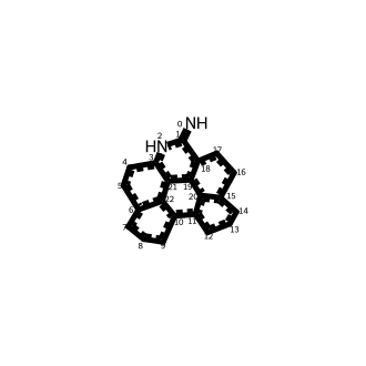 N=c1[nH]c2ccc3cccc4c5cccc6ccc1c(c65)c2c34